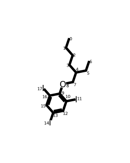 CCCCC(CC)COc1c(I)cc(I)cc1I